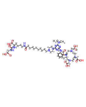 CN(C)c1nc(Nc2cccc(CC3CN(CC(=O)O)CCN(CC(=O)O)CCN(CC(=O)O)CCN3CC=O)c2)nc(N2CCN(CCCCCCCCCCC(=O)NCCCCC(NC(=O)NCC(=O)O)C(=O)O)CC2)n1